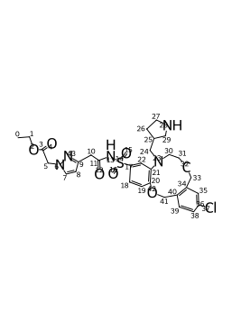 CCOC(=O)Cn1ccc(CC(=O)NS(=O)(=O)c2ccc3c(c2)N(CC2CCNC2)CCCCc2cc(Cl)ccc2CO3)n1